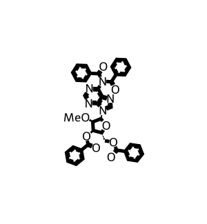 CO[C@@H]1[C@H](OC(=O)c2ccccc2)[C@@H](COC(=O)c2ccccc2)O[C@H]1n1cnc2c(N(C(=O)c3ccccc3)C(=O)c3ccccc3)ncnc21